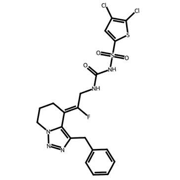 O=C(NC/C(F)=C1\CCCn2nnc(Cc3ccccc3)c21)NS(=O)(=O)c1cc(Cl)c(Cl)s1